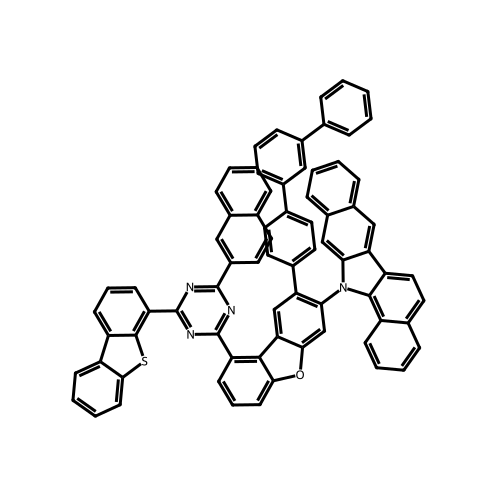 c1ccc(-c2cccc(-c3ccc(-c4cc5c(cc4-n4c6cc7ccccc7cc6c6ccc7ccccc7c64)oc4cccc(-c6nc(-c7ccc8ccccc8c7)nc(-c7cccc8c7sc7ccccc78)n6)c45)cc3)c2)cc1